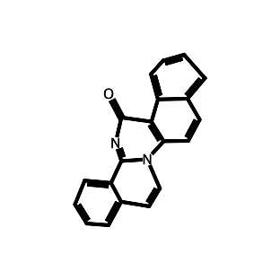 O=c1nc2c3ccccc3ccn2c2ccc3ccccc3c12